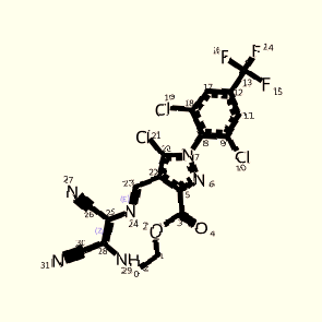 CCOC(=O)c1nn(-c2c(Cl)cc(C(F)(F)F)cc2Cl)c(Cl)c1/C=N/C(C#N)=C(\N)C#N